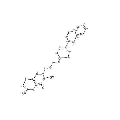 NC1CCc2nc(CCCCN3CCN(c4ccc5ccccc5n4)CC3)n(N)c(=O)c2C1